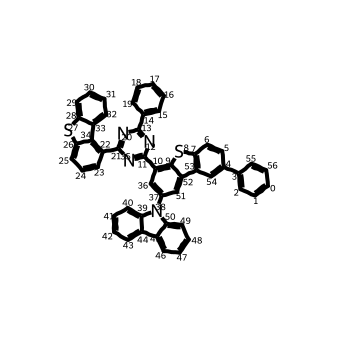 c1ccc(-c2ccc3sc4c(-c5nc(-c6ccccc6)nc(-c6cccc7sc8ccccc8c67)n5)cc(-n5c6ccccc6c6ccccc65)cc4c3c2)cc1